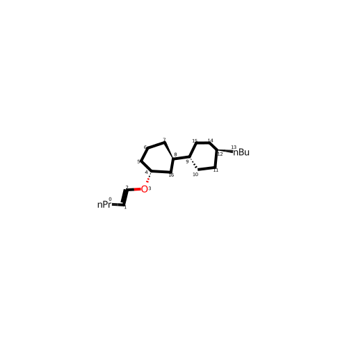 CCCC=CO[C@@H]1CCC[C@@H]([C@H]2CC[C@H](CCCC)CC2)C1